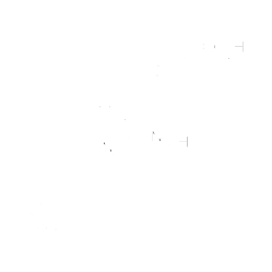 Cn1cc(Cc2ccc(C(=O)O)cc2)c(=O)c2c1CC(C#CCc1ccccc1)=N2